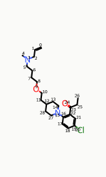 C=CCN(C)CCCCOCCC1CCN(c2ccc(Cl)cc2C(=O)CC)CC1